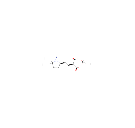 CN1/C(=C/C=C2C(=O)OC(C)(C)OC2=O)CCC1(C)C